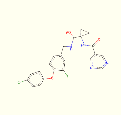 O=C(NC1(C(O)NCc2ccc(Oc3ccc(Cl)cc3)c(F)c2)CC1)c1cncnc1